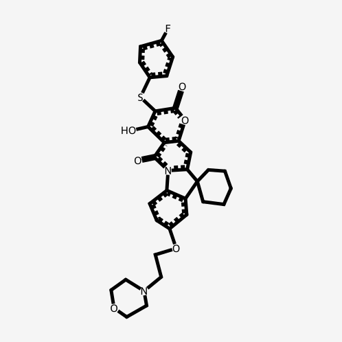 O=c1oc2cc3n(c(=O)c2c(O)c1Sc1ccc(F)cc1)-c1ccc(OCCN2CCOCC2)cc1C31CCCCC1